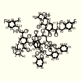 C[C@H]1CO[C@@H]2Cn3cc(C(=O)NCc4ccc(F)cc4F)c(=O)c(OC(CCOP(=O)(OCc4ccccc4)OCc4ccccc4)OC(=O)OC(CCOP(=O)(OCc4ccccc4)OCc4ccccc4)Oc4c5n(cc(C(=O)NCc6ccc(F)cc6F)c4=O)C[C@H]4OC[C@H](C)N4C5=O)c3C(=O)N12